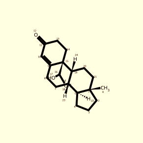 C[C@@]12CCC[C@H]1[C@@H]1CCC3=CC(=O)CC[C@]3(C(O)O)[C@@H]1CC2